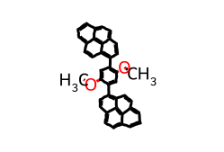 COc1cc(-c2ccc3ccc4cccc5ccc2c3c45)c(OC)cc1-c1ccc2ccc3cccc4ccc1c2c34